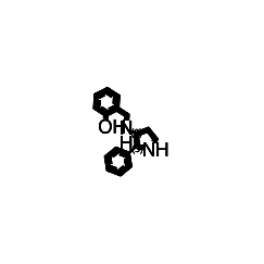 Oc1ccccc1CN[C@H]1CCN[C@H]1c1ccccc1